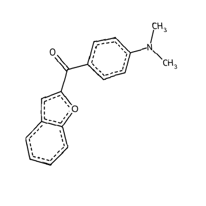 CN(C)c1ccc(C(=O)c2cc3ccccc3o2)cc1